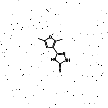 Cc1cc(-c2n[nH]c(=S)[nH]2)c(C)o1